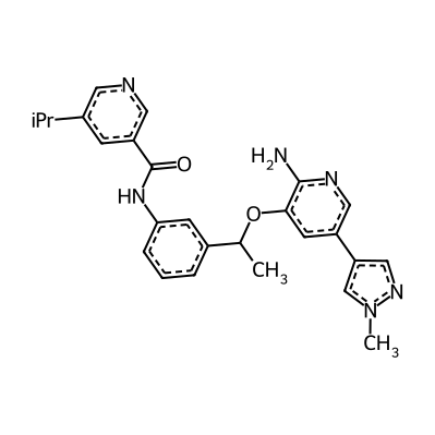 CC(C)c1cncc(C(=O)Nc2cccc(C(C)Oc3cc(-c4cnn(C)c4)cnc3N)c2)c1